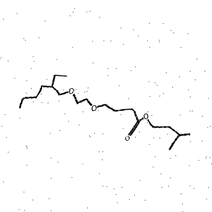 CCCCC(CC)COCCOCCCC(=O)OCCC(C)C